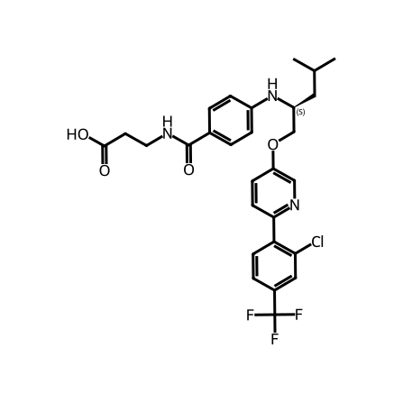 CC(C)C[C@@H](COc1ccc(-c2ccc(C(F)(F)F)cc2Cl)nc1)Nc1ccc(C(=O)NCCC(=O)O)cc1